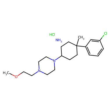 COCCN1CCN(C2CCC(C)(c3cccc(Cl)c3)CC2)CC1.Cl.N